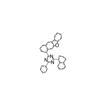 c1ccc(-c2nc(-c3cccc4ccccc34)nc(-c3cccc4cc5c(cc34)oc3ccccc35)n2)cc1